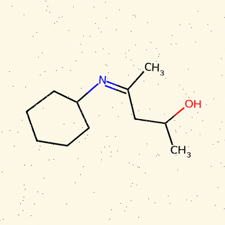 CC(CC(C)O)=NC1CCCCC1